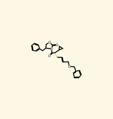 O=C1OCC(Cc2ccccc2)N1C(=O)[C@@H](CC=CCOCc1ccccc1)C1CC1